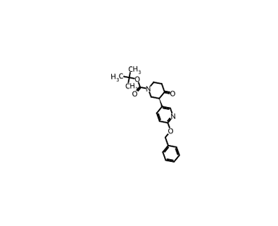 CC(C)(C)OC(=O)N1CCC(=O)[C@@H](c2ccc(OCc3ccccc3)nc2)C1